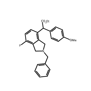 CCOC(=O)C(c1ccc(OC)cc1)c1ccc(F)c2c1CN(Cc1ccccc1)C2